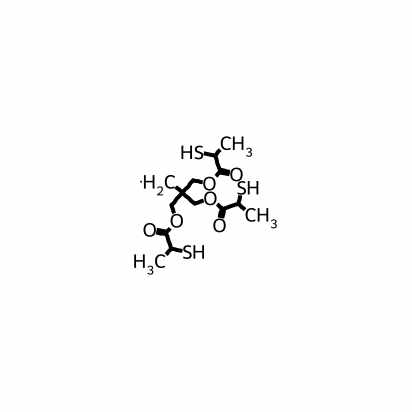 [CH2]C(COC(=O)C(C)S)(COC(=O)C(C)S)COC(=O)C(C)S